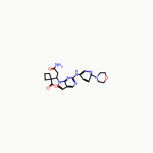 NC(=O)CC(n1ccc2cnc(Nc3ccc(N4CCOCC4)nc3)nc21)C1(C(=O)O)CCC1